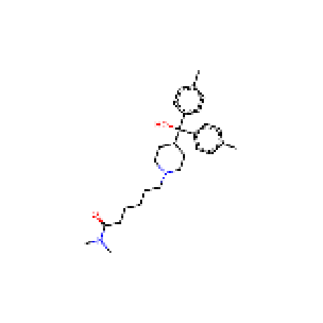 Cc1ccc(C(O)(c2ccc(C)cc2)C2CCN(CCCCCC(=O)N(C)C)CC2)cc1